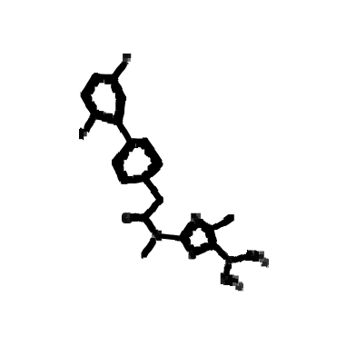 Cc1nc(N(C)C(=O)Cc2ccc(-c3cc(F)ccc3F)cc2)sc1P(N)N